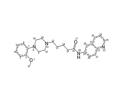 COc1ccccc1N1CCN(CCCCC(=O)Nc2ccc3ncccc3c2)CC1